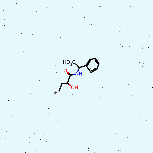 CC(C)CC(O)C(=O)NC(C(=O)O)c1ccccc1